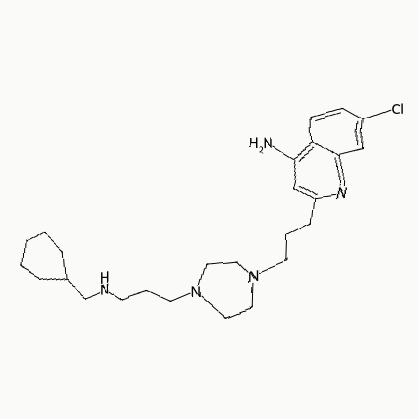 Nc1cc(CCCN2CCN(CCCNCC3CCCCC3)CC2)nc2cc(Cl)ccc12